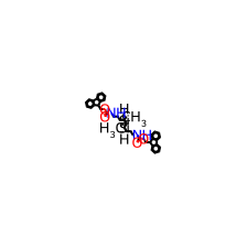 C[SiH](CCCNC(=O)OCC1c2ccccc2-c2ccccc21)C[SiH](C)CCCNC(=O)OCC1c2ccccc2-c2ccccc21